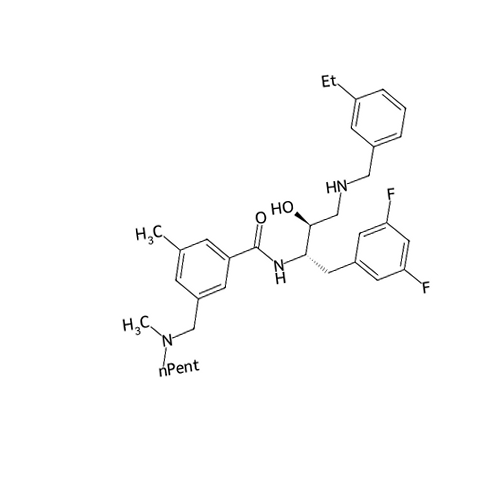 CCCCCN(C)Cc1cc(C)cc(C(=O)N[C@@H](Cc2cc(F)cc(F)c2)[C@@H](O)CNCc2cccc(CC)c2)c1